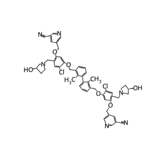 Cc1c(COc2cc(OCc3cncc(C#N)c3)c(CN3CC[C@@H](O)C3)cc2Cl)cccc1-c1cccc(COc2cc(OCc3cncc(C#N)c3)c(CN3CC[C@@H](O)C3)cc2Cl)c1C